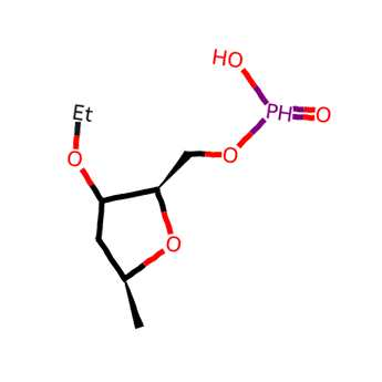 CCOC1C[C@H](C)O[C@@H]1CO[PH](=O)O